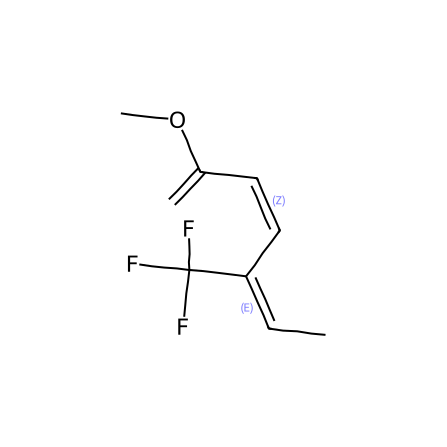 C=C(/C=C\C(=C/C)C(F)(F)F)OC